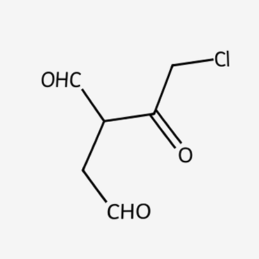 O=CCC(C=O)C(=O)CCl